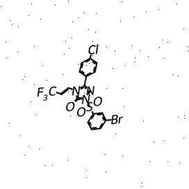 O=c1n(S(=O)(=O)c2cccc(Br)c2)nc(-c2ccc(Cl)cc2)n1C=CC(F)(F)F